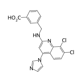 O=C(O)c1cccc(CNc2cc(-n3ccnc3)c3ccc(Cl)c(Cl)c3n2)c1